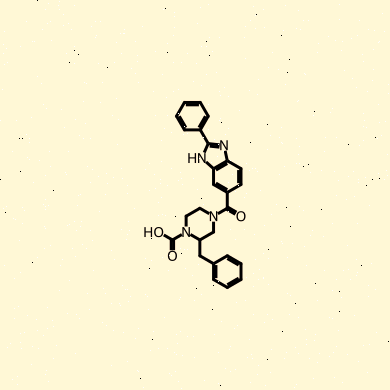 O=C(c1ccc2nc(-c3ccccc3)[nH]c2c1)N1CCN(C(=O)O)C(Cc2ccccc2)C1